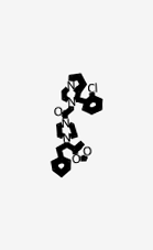 O=C(CN1CCn2cccc2C1c1ccccc1Cl)N1CCN(C(Cc2ccccc2)C2=COCO2)CC1